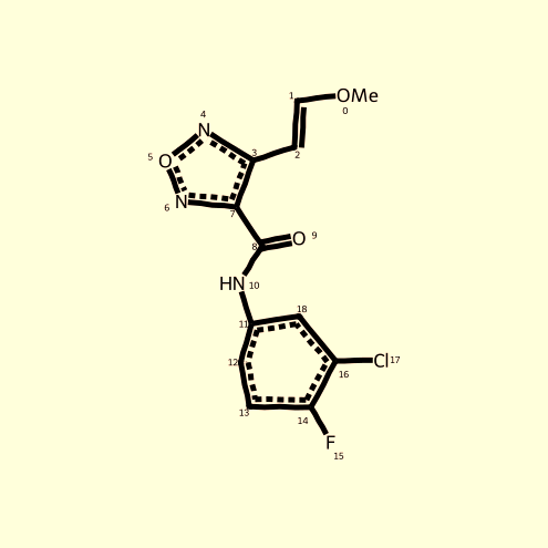 COC=Cc1nonc1C(=O)Nc1ccc(F)c(Cl)c1